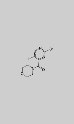 O=C(c1cc(Br)ncc1F)N1CCOCC1